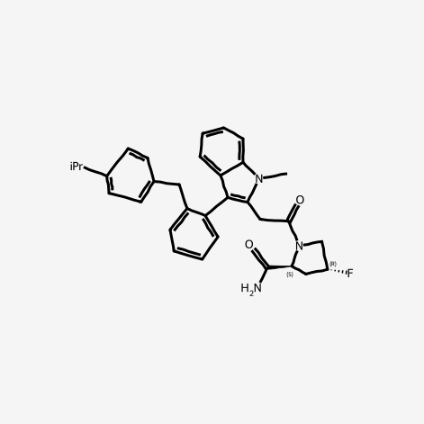 CC(C)c1ccc(Cc2ccccc2-c2c(CC(=O)N3C[C@H](F)C[C@H]3C(N)=O)n(C)c3ccccc23)cc1